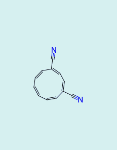 N#Cc1ccccccc(C#N)cc1